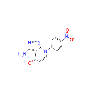 Nc1ncnc2c1c(=O)ccn2-c1ccc([N+](=O)[O-])cc1